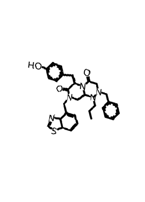 CCCN1C2CN(CC3=CC=CC4SC=NC34)C(=O)C(Cc3ccc(O)cc3)N2C(=O)CN1Cc1ccccc1